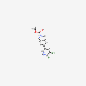 CC(C)(C)OC(=O)N1CC2C=C(c3cnc(Cl)c(Cl)c3)CC2C1